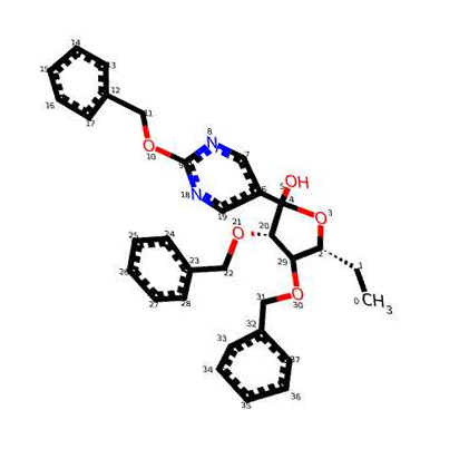 CC[C@H]1OC(O)(c2cnc(OCc3ccccc3)nc2)[C@@H](OCc2ccccc2)C1OCc1ccccc1